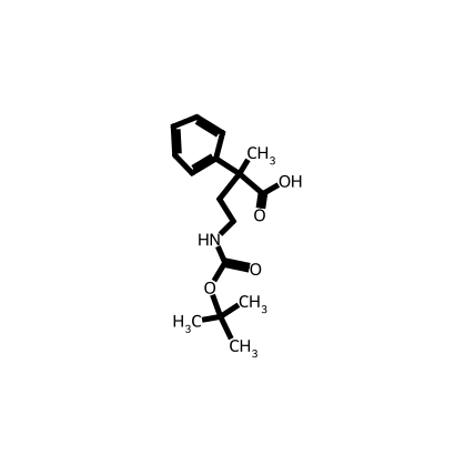 CC(C)(C)OC(=O)NCCC(C)(C(=O)O)c1ccccc1